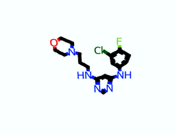 Fc1ccc(Nc2cc(NCCCN3CCOCC3)ncn2)cc1Cl